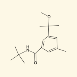 COC(C)(C)c1cc(C)cc(C(=O)NC(C)(C)C)c1